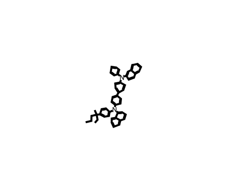 CCCC(C)(CC)c1ccc(N(c2ccc(-c3ccc(N(c4ccccc4)c4ccc5ccccc5c4)cc3)cc2)c2cccc3ccccc23)cc1